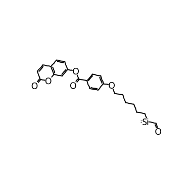 O=C[Si]CCCCCCOc1ccc(C(=O)Oc2ccc3ccc(=O)oc3c2)cc1